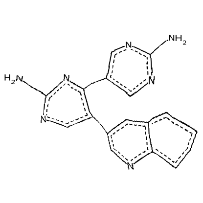 Nc1ncc(-c2nc(N)ncc2-c2cnc3ccccc3c2)cn1